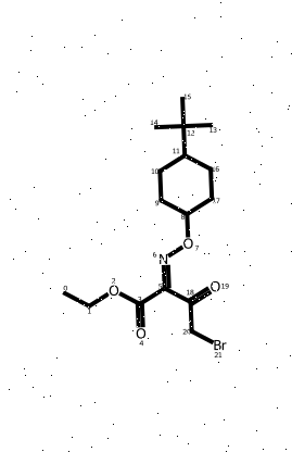 CCOC(=O)/C(=N/OC1CCC(C(C)(C)C)CC1)C(=O)CBr